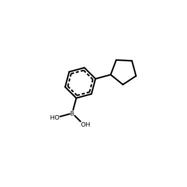 OB(O)c1cccc(C2CCCC2)c1